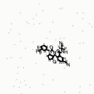 CN1C(=O)N(c2cccc(C(F)(F)F)c2)C2=C(C(=O)CC2)C1c1ccc(C#N)cc1C(=O)NC(C)(C)C#N